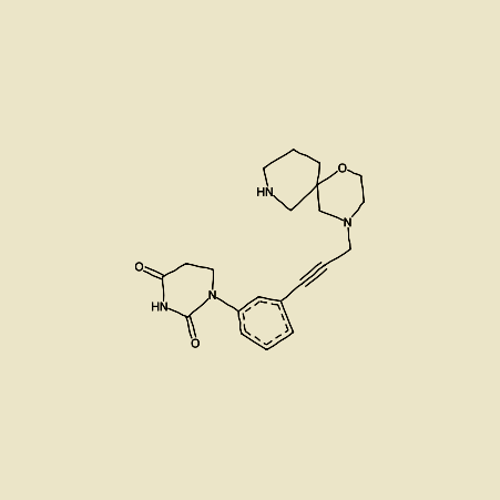 O=C1CCN(c2cccc(C#CCN3CCOC4(CCCNC4)C3)c2)C(=O)N1